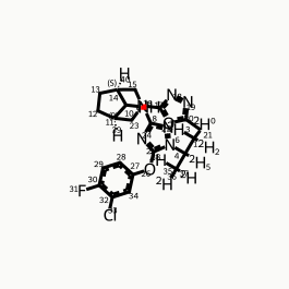 [2H]C([2H])([2H])C([2H])(n1nc(NC2[C@@H]3CC[C@H]2CN(c2nnc(C)o2)C3)nc1Oc1ccc(F)c(Cl)c1)C([2H])([2H])[2H]